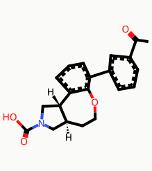 CC(=O)c1cccc(-c2cccc3c2OCC[C@H]2CN(C(=O)O)C[C@H]32)c1